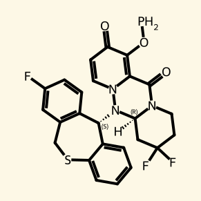 O=C1c2c(OP)c(=O)ccn2N([C@H]2c3ccc(F)cc3CSc3ccccc32)[C@@H]2CC(F)(F)CCN12